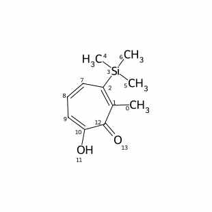 Cc1c([Si](C)(C)C)cccc(O)c1=O